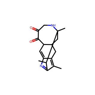 CC1=C2CC3CC4(C)NCC(=O)C(=O)C3C=C2N=C1C4C